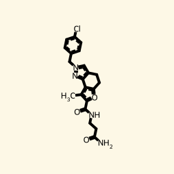 Cc1c(C(=O)NCCC(N)=O)oc2c1-c1nn(Cc3ccc(Cl)cc3)cc1CC2